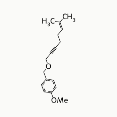 COc1ccc(COCC#CCCC=C(C)C)cc1